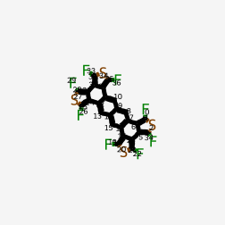 Fc1sc(F)c2c1c1cc3cc4c(cc3cc1c1c(F)sc(F)c12)c1c(F)sc(F)c1c1c(F)sc(F)c41